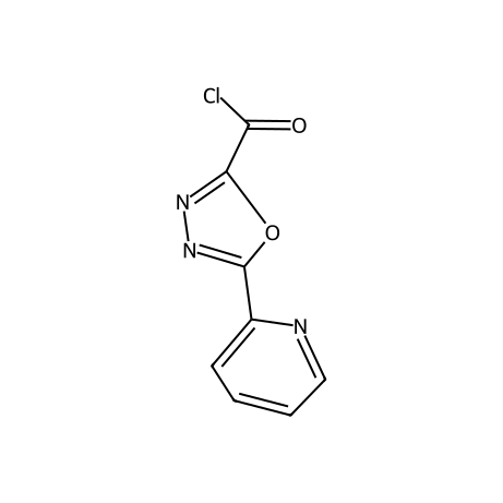 O=C(Cl)c1nnc(-c2ccccn2)o1